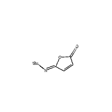 CC(C)(C)N=C1C=CC(=O)O1